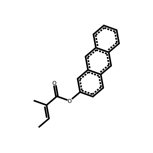 CC=C(C)C(=O)Oc1ccc2cc3ccccc3cc2c1